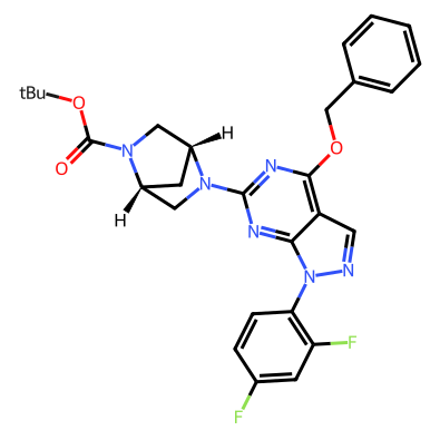 CC(C)(C)OC(=O)N1C[C@H]2C[C@@H]1CN2c1nc(OCc2ccccc2)c2cnn(-c3ccc(F)cc3F)c2n1